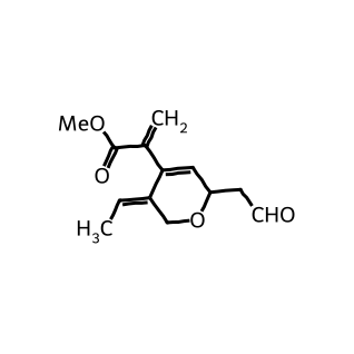 C=C(C(=O)OC)C1=CC(CC=O)OCC1=CC